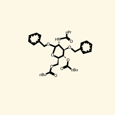 CCCCC(=O)OC[C@H]1OC(OCc2ccccc2)[C@H](NC(=O)CCC)[C@@H](OCc2ccccc2)[C@@H]1OC(=O)CCCC